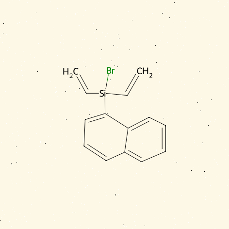 C=C[Si](Br)(C=C)c1cccc2ccccc12